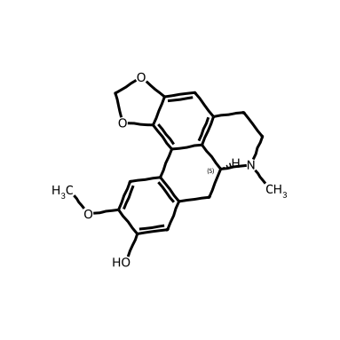 COc1cc2c(cc1O)C[C@H]1c3c(cc4c(c3-2)OCO4)CCN1C